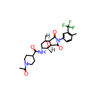 CC(=O)N1CCC(C(=O)N[C@@H]2C[C@@]3(C)O[C@]2(C)[C@@H]2C(=O)N(c4ccc(C)c(C(F)(F)F)c4)C(=O)[C@@H]23)CC1